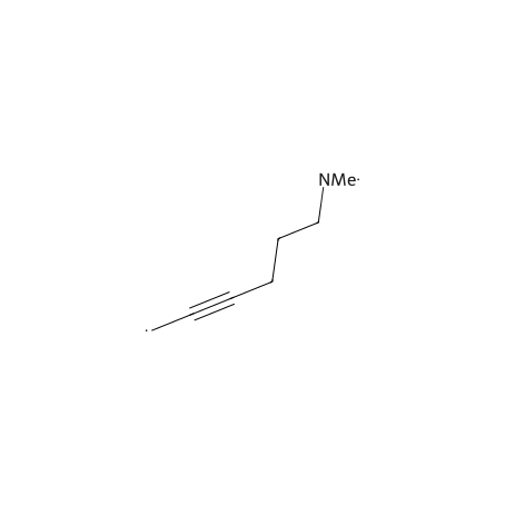 [CH2]C#CCCC[N]C